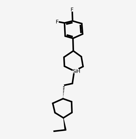 CC[C@H]1CC[C@H](CC[SiH]2CCC(c3ccc(F)c(F)c3)CC2)CC1